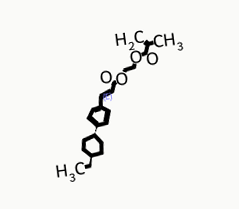 C=C(C)C(=O)OCCOC(=O)/C=C/c1ccc([C@H]2CC[C@H](CC)CC2)cc1